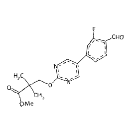 COC(=O)C(C)(C)COc1ncc(-c2ccc(C=O)c(F)c2)cn1